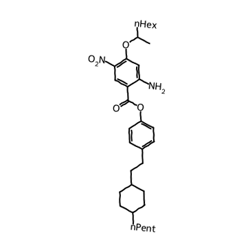 CCCCCCC(C)Oc1cc(N)c(C(=O)Oc2ccc(CCC3CCC(CCCCC)CC3)cc2)cc1[N+](=O)[O-]